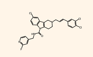 O=C(NCc1ccnc(F)c1)n1c2c(c3cc(Cl)ccc31)CN(CC=Cc1ccc(Cl)c(Cl)c1)CC2